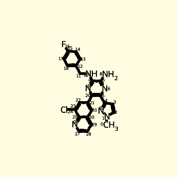 Cn1ccc(-c2nc(N)c(NCc3ccc(F)cc3)nc2-c2cc(Cl)c3ncccc3c2)n1